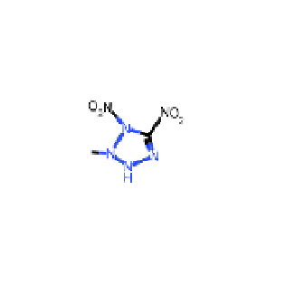 CN1NN=C([N+](=O)[O-])N1[N+](=O)[O-]